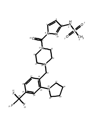 CS(=O)(=O)Nc1ccn(C(=O)N2CCN(Cc3ccc(C(F)(F)F)cc3N3CCCC3)CC2)n1